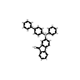 O=C1c2ccccc2-c2ccc(N(c3ccccc3)c3ccc(-c4ccccc4)cc3)cc21